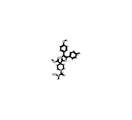 COC(=O)C1(c2nc(-c3ccc(OC)cc3)c(-c3ccc(C)cc3)o2)CCN(C(=O)N(C)O)CC1